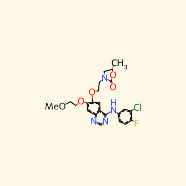 COCCOc1cc2ncnc(Nc3ccc(F)c(Cl)c3)c2cc1OCCN1C[C@H](C)OC1=O